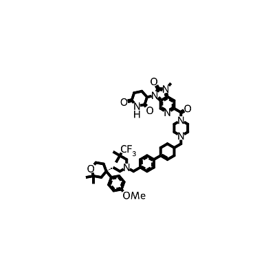 COc1ccc([C@]2(CCN(Cc3ccc(C4=CCC(CN5CCN(C(=O)c6cc7c(cn6)n(C6CCC(=O)NC6=O)c(=O)n7C)CC5)CC4)cc3)CC(C)(C)C(F)(F)F)CCOC(C)(C)C2)cc1